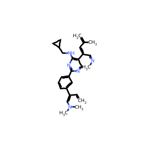 C=C/C(=C\N(C)C)c1cccc(-c2ncc(C(/C=N\C)=C/C(=C)C)c(NCC3CC3)n2)c1